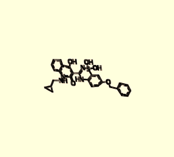 O=c1c(C2=NS(O)(O)c3cc(OCc4ccccc4)ccc3N2)c(O)c2ccccc2n1NCC1CC1